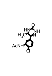 CC(=O)Nc1cc(C2=NNC(=O)NC2C)ccc1Cl